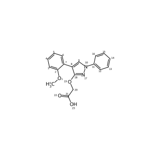 COc1ccccc1-c1cn(-c2ccccc2)nc1OCC(=O)O